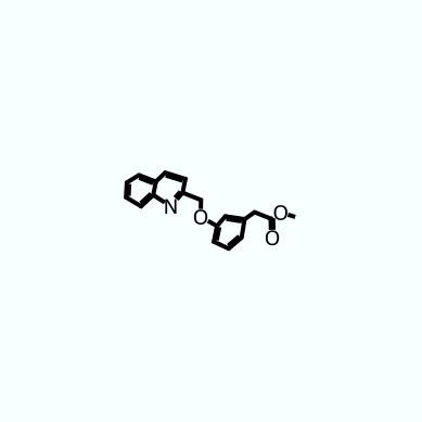 COC(=O)Cc1cccc(OCc2ccc3ccccc3n2)c1